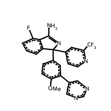 COc1ccc(C2(c3ccnc(C(F)(F)F)c3)N=C(N)c3c(F)cccc32)cc1-c1cncnc1